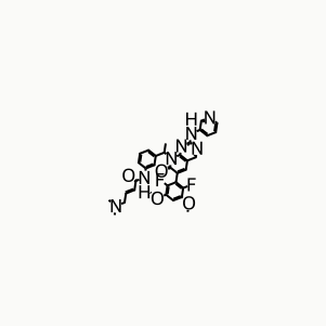 COc1cc(OC)c(F)c(-c2cc3cnc(Nc4cccnc4)nc3n(C(C)c3cccc(NC(=O)/C=C/CN(C)C)c3)c2=O)c1F